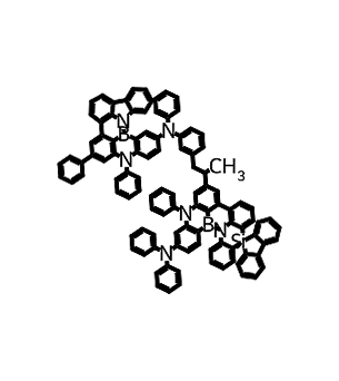 CC(Cc1cccc(N(c2ccccc2)c2ccc3c(c2)B2c4c(cc(-c5ccccc5)cc4N3c3ccccc3)-c3cccc4c5ccccc5n2c34)c1)c1cc2c3c(c1)N(c1ccccc1)c1cc(N(c4ccccc4)c4ccccc4)ccc1B3N1c3ccccc3[Si]3(c4ccccc4-c4ccccc43)c3cccc-2c31